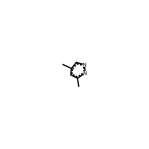 Cc1[c]nnc(C)c1